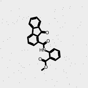 COC(=O)c1ccccc1NC(=O)c1cccc2c1C(=O)c1ccccc1-2